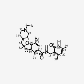 CCN1CCC(CC2(C)Oc3c(Br)cc(C(=O)NCc4c(C)cc(C)[nH]c4=O)c(C)c3O2)CC1